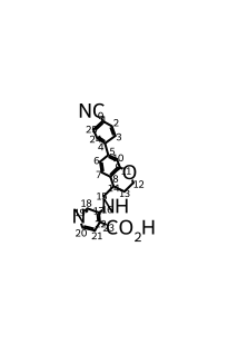 N#Cc1ccc(-c2ccc3c(c2)OCCC3CNc2cnccc2C(=O)O)cc1